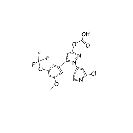 COc1cc(OC(F)(F)F)cc(-c2cc(OC(=O)O)nn2-c2ccnc(Cl)c2)c1